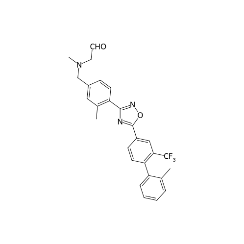 Cc1cc(CN(C)CC=O)ccc1-c1noc(-c2ccc(-c3ccccc3C)c(C(F)(F)F)c2)n1